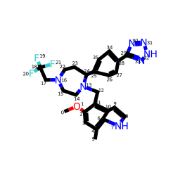 COc1cc(C)c2[nH]ccc2c1CN1CCN(CC(F)(F)F)CCC1c1ccc(-c2nn[nH]n2)cc1